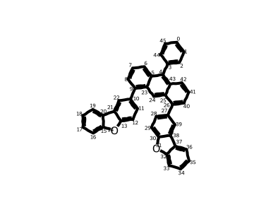 c1ccc(-c2c3cccc(-c4ccc5oc6ccccc6c5c4)c3cc3c(-c4ccc5oc6ccccc6c5c4)cccc23)cc1